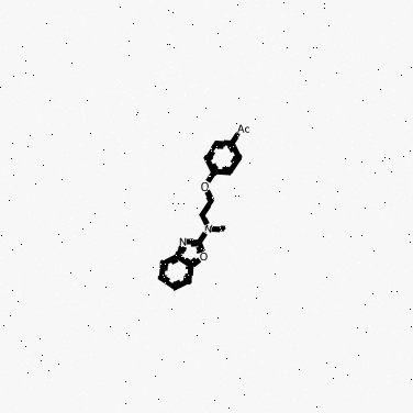 CC(=O)c1ccc(OCCN(C)c2nc3ccccc3o2)cc1